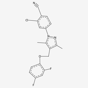 Cc1nn(-c2ccc(C#N)c(Cl)c2)c(C)c1COc1ccc(F)cc1F